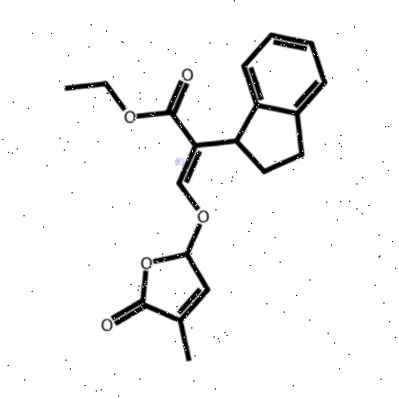 CCOC(=O)/C(=C/OC1C=C(C)C(=O)O1)C1CCc2ccccc21